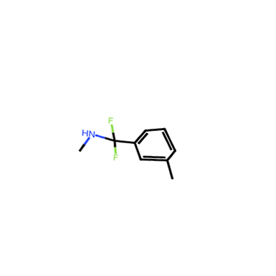 CNC(F)(F)c1cccc(C)c1